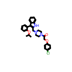 CC(C)Oc1ccccc1-c1c(CN2CCN(C(=O)COc3ccc(Cl)cc3)CC2)[nH]c2ccccc12